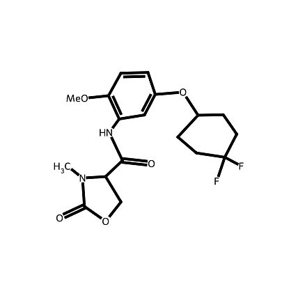 COc1ccc(OC2CCC(F)(F)CC2)cc1NC(=O)C1COC(=O)N1C